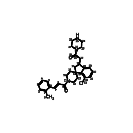 Cc1ccccc1/C=C/C(=O)N1CCC2(CC1)CC(CC(=O)N1CCNCC1)c1cccc(Cl)c12